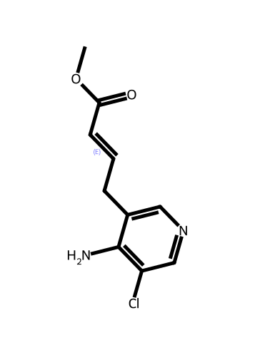 COC(=O)/C=C/Cc1cncc(Cl)c1N